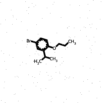 [CH2]C(C)c1cc(Br)ccc1OCCC